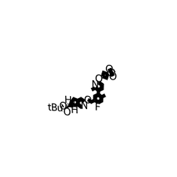 Cc1cc(F)c(COc2cc3c(cn2)[C@H]2[C@@H](C3)[C@@H]2C(=O)OC(C)(C)C)cc1-c1ccc(OC2CC(S(C)(=O)=O)C2)nc1C